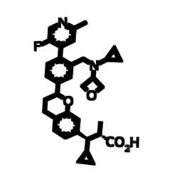 Cc1cc(-c2ccc(C3CCc4ccc([C@H](C5CC5)[C@H](C)C(=O)O)cc4O3)cc2CN(C2CC2)C2COC2)c(F)cn1